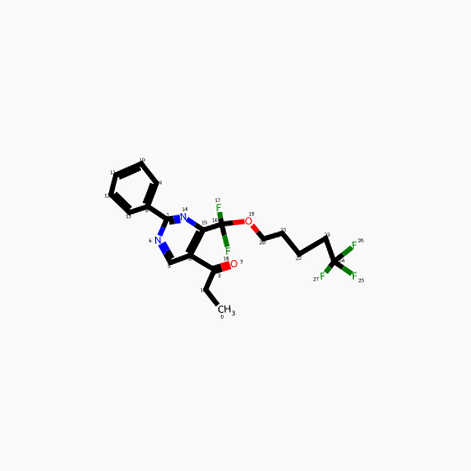 CCC(=O)c1cnc(-c2ccccc2)nc1C(F)(F)OCCCCC(F)(F)F